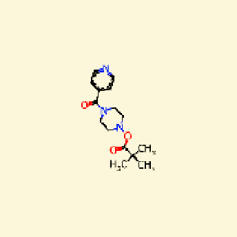 CC(C)(C)C(=O)ON1CCN(C(=O)c2ccncc2)CC1